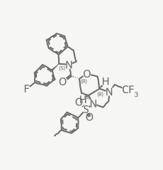 Cc1ccc(S(=O)(=O)N2CCN(CC(F)(F)F)[C@H]3CO[C@@H](C(=O)N4CCc5ccccc5[C@@H]4c4ccc(F)cc4)C[C@@H]32)cc1